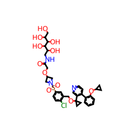 O=C(COC1CN(S(=O)(=O)c2ccc(Cl)c(COC3(c4cnccc4-c4ccccc4OC4CC4)CC3)c2)C1)NCC(O)C(O)C(O)C(O)CO